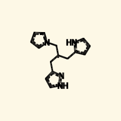 c1c[nH]c(C[C](Cc2cc[nH]n2)Cn2cccc2)c1